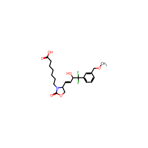 COCc1cccc(C(F)(F)C(O)C=CC2COC(=O)N2CCCCCCC(=O)O)c1